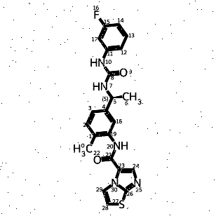 Cc1ccc([C@H](C)NC(=O)Nc2cccc(F)c2)cc1NC(=O)c1cnc2sccn12